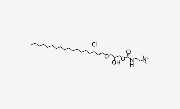 CCCCCCCCCCCCCCCCCCOCC(O)COC(=O)NCC[N+](C)(C)C.[Cl-]